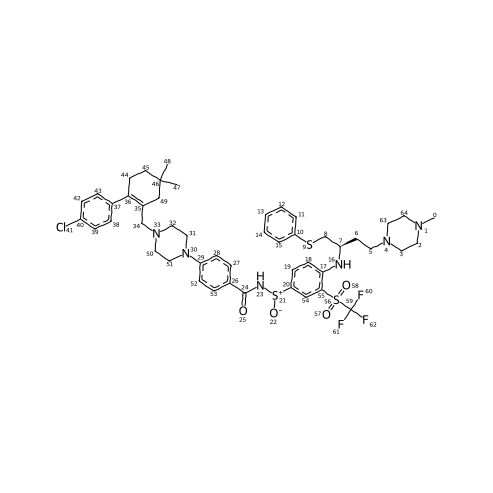 CN1CCN(CC[C@H](CSc2ccccc2)Nc2ccc([S+]([O-])NC(=O)c3ccc(N4CCN(CC5=C(c6ccc(Cl)cc6)CCC(C)(C)C5)CC4)cc3)cc2S(=O)(=O)C(F)(F)F)CC1